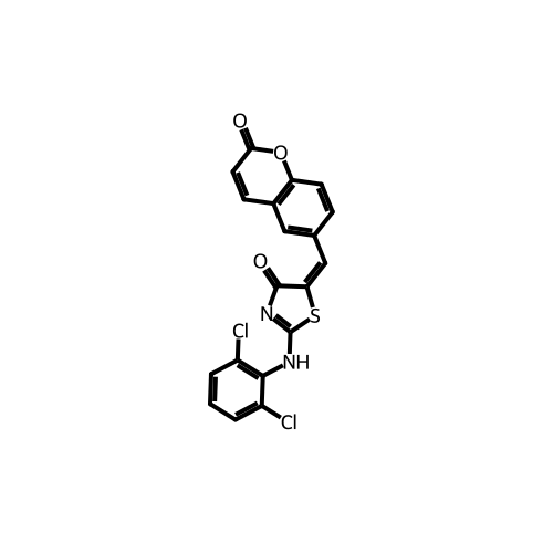 O=C1N=C(Nc2c(Cl)cccc2Cl)SC1=Cc1ccc2oc(=O)ccc2c1